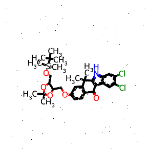 CC1(C)OC(COc2ccc3c(c2)C(C)(C)c2[nH]c4cc(Cl)c(Cl)cc4c2C3=O)C(CO[Si](C)(C)C(C)(C)C)O1